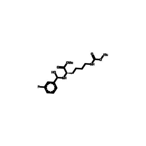 COC(=O)[C@H](CCCCNC(=O)OC(C)(C)C)NC(O)c1cccc(F)c1